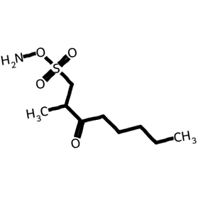 CCCCCC(=O)C(C)CS(=O)(=O)ON